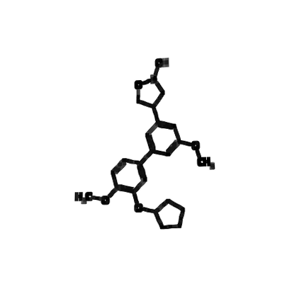 COc1cc(-c2ccc(OC)c(OC3CCCC3)c2)cc(C2COB(O)C2)c1